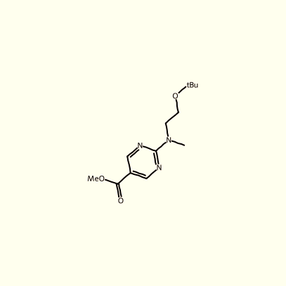 COC(=O)c1cnc(N(C)CCOC(C)(C)C)nc1